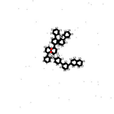 c1ccc(-c2ccccc2N(c2ccc(-c3ccc(-c4ccccc4-n4c5ccccc5c5ccccc54)cc3)cc2)c2ccc(-c3cccc(-c4ccc5ccccc5c4)c3)cc2)cc1